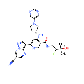 CC(C)(O)C(F)CNC(=O)c1cnc(-c2cnn3cc(C#N)cnc23)cc1N[C@@H]1CCN(c2cncnc2)C1